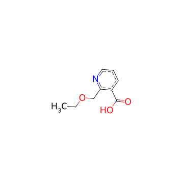 CCOCc1ncccc1C(=O)O